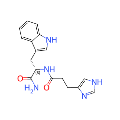 NC(=O)[C@H](Cc1c[nH]c2ccccc12)NC(=O)CCc1c[nH]cn1